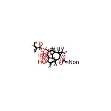 C/C=C(/C)C(=O)OCC1=C[C@@H]2C(O)[C@]3(C=C(C)[C@H](O)[C@@]3(O)[C@@H]1O)[C@H](C)C[C@]1(OC(=O)CCCCCCCCC)[C@H]2C1(C)C